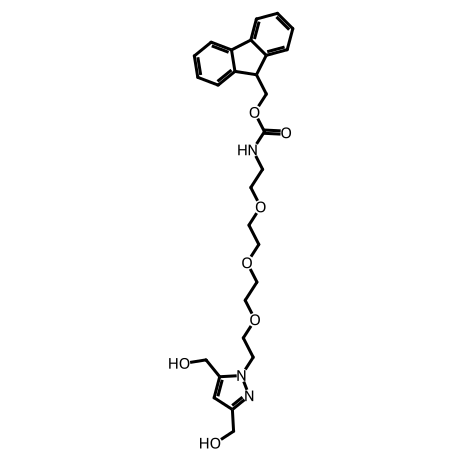 O=C(NCCOCCOCCOCCn1nc(CO)cc1CO)OCC1c2ccccc2-c2ccccc21